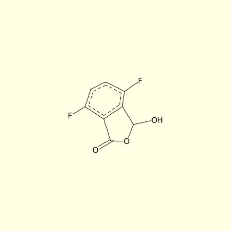 O=C1OC(O)c2c(F)ccc(F)c21